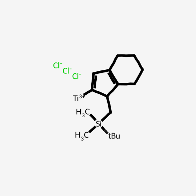 CC(C)(C)[Si](C)(C)CC1[C]([Ti+3])=CC2=C1CCCC2.[Cl-].[Cl-].[Cl-]